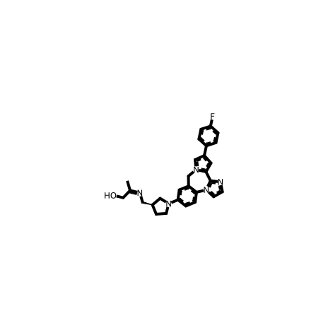 C/C(CO)=N/C[C@@H]1CCN(c2ccc3c(c2)Cn2cc(-c4ccc(F)cc4)cc2-c2nccn2-3)C1